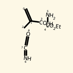 C=C(C)C(=O)O.CCOC(N)=O.N=C=O